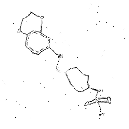 CC(C)S(=O)(=O)N[C@H]1CC[C@H](CNc2ccc3c(c2)OCCO3)CC1